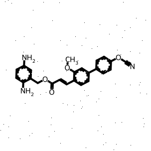 COc1cc(-c2ccc(OC#N)cc2)ccc1/C=C/C(=O)OCc1cc(N)ccc1N